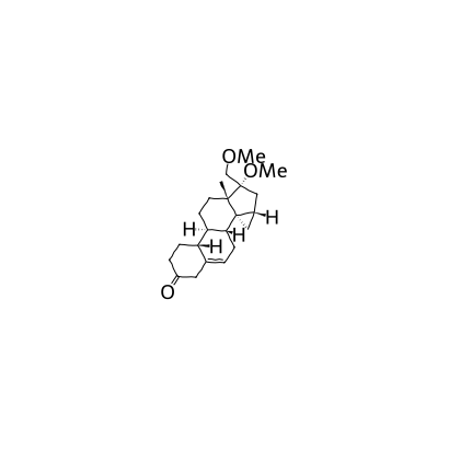 COC[C@@]1(OC)C[C@@H]2C[C@@]23[C@@H]2CC=C4CC(=O)CC[C@@H]4[C@H]2CC[C@]13C